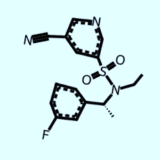 CCN([C@H](C)c1cccc(F)c1)S(=O)(=O)c1cncc(C#N)c1